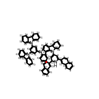 C1=C(c2ccc3ccccc3c2)NC(c2ccc3ccccc3c2)C=C1n1c2ccccc2c2ccc3c(c4ccccc4n3-c3cc(-n4c5ccccc5c5ccccc54)cc(-n4c5ccccc5c5ccccc54)c3)c21